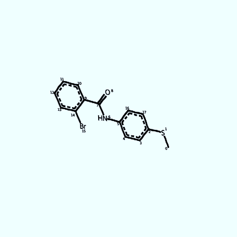 CSc1ccc(NC(=O)c2ccccc2Br)cc1